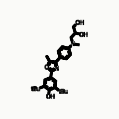 Cc1oc(-c2cc(C(C)(C)C)c(O)c(C(C)(C)C)c2)nc1-c1ccc(N(C)CC(O)CO)cc1